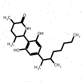 CCCCCC(C)C(C)c1cc(O)c(C2NC(=O)C(C)CC2C)c(O)c1